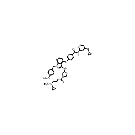 COc1ccc(Cn2nc(NC3CCN(C(=O)C=CCN(C)C4CC4)C3)c3c(Oc4ccc(C(=O)Nc5cc(OC6CC6)ccn5)cc4)ccnc32)cc1